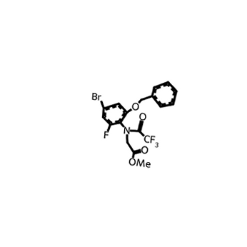 COC(=O)CN(C(=O)C(F)(F)F)c1c(F)cc(Br)cc1OCc1ccccc1